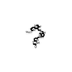 COc1ccc2ncc(F)c(CCN3C[C@@H]4CC[C@@H](NCc5ccc6c(n5)NC(=O)CS6)[C@@H]4C3)c2n1